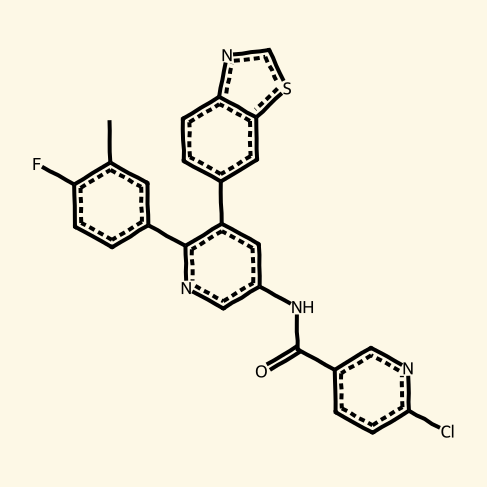 Cc1cc(-c2ncc(NC(=O)c3ccc(Cl)nc3)cc2-c2ccc3ncsc3c2)ccc1F